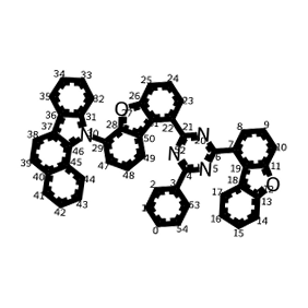 c1ccc(-c2nc(-c3cccc4oc5ccccc5c34)nc(-c3cccc4oc5c(-n6c7ccccc7c7ccc8ccccc8c76)cccc5c34)n2)cc1